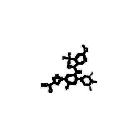 COc1cc(C(F)(F)F)c(C(=O)Nc2cc(-n3cc(C(=O)O)nn3)c(F)cc2N2C[C@@H](C)N(C)[C@@H](C)C2)cn1